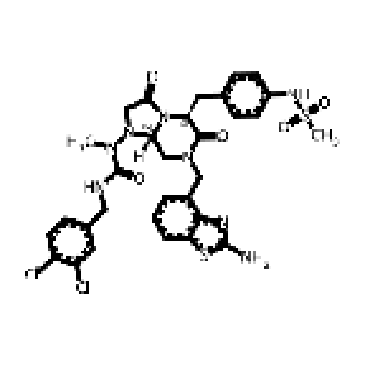 CN(C(=O)NCc1ccc(Cl)c(Cl)c1)N1CC(=O)N2[C@@H](Cc3ccc(NS(C)(=O)=O)cc3)C(=O)N(Cc3cccc4sc(N)nc34)C[C@@H]21